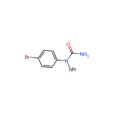 CCCN(C(N)=O)c1ccc(Br)cc1